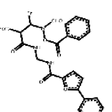 CCCCCC(C(=O)NCNC(=O)c1ccc(-c2ccccc2)o1)C(CC)N(C=O)OC(=O)c1ccccc1